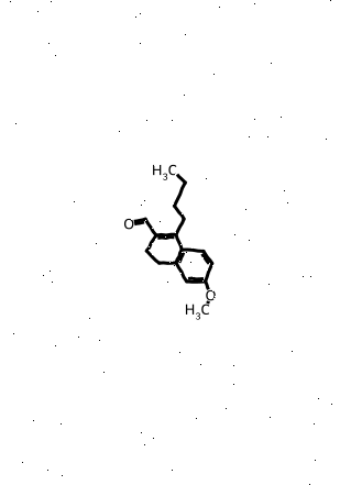 CCCCC1=C(C=O)CCc2cc(OC)ccc21